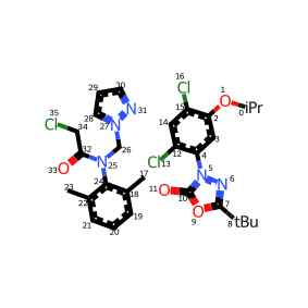 CC(C)Oc1cc(-n2nc(C(C)(C)C)oc2=O)c(Cl)cc1Cl.Cc1cccc(C)c1N(Cn1cccn1)C(=O)CCl